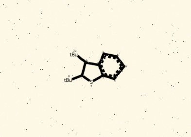 CC(C)(C)C1Sc2ccccc2C1C(C)(C)C